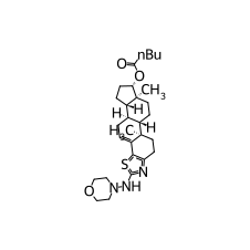 CCCCC(=O)O[C@H]1CC[C@H]2[C@@H]3CC=C4c5sc(NN6CCOCC6)nc5CC[C@]4(C)[C@H]3CC[C@]12C